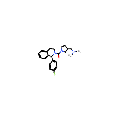 CN(C)CC1CCN(C(=O)N2CCc3ccccc3[C@@H]2c2ccc(F)cc2)C1